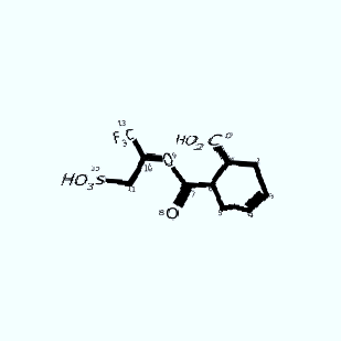 O=C(O)C1CC=CCC1C(=O)OC(CS(=O)(=O)O)C(F)(F)F